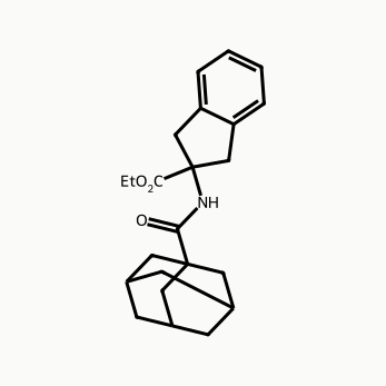 CCOC(=O)C1(NC(=O)C23CC4CC(CC(C4)C2)C3)Cc2ccccc2C1